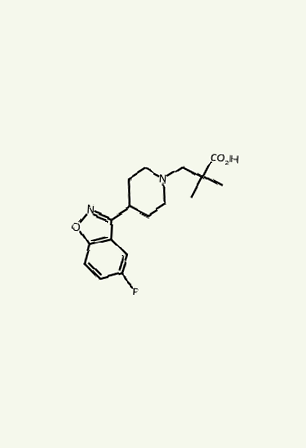 CC(C)(CN1CCC(c2noc3ccc(F)cc23)CC1)C(=O)O